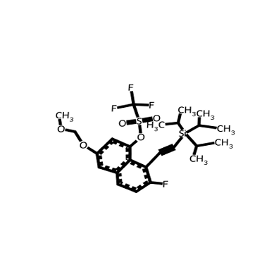 COCOc1cc(OS(=O)(=O)C(F)(F)F)c2c(C#C[Si](C(C)C)(C(C)C)C(C)C)c(F)ccc2c1